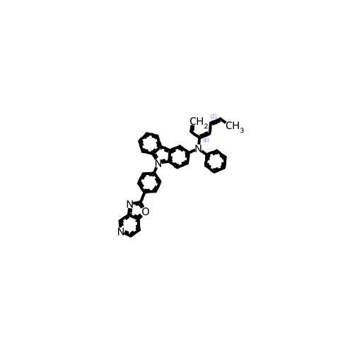 C=C/C(=C\C=C/C)N(c1ccccc1)c1ccc2c(c1)c1ccccc1n2-c1ccc(-c2nc3cnccc3o2)cc1